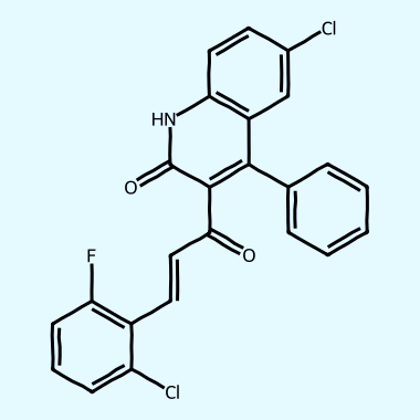 O=C(/C=C/c1c(F)cccc1Cl)c1c(-c2ccccc2)c2cc(Cl)ccc2[nH]c1=O